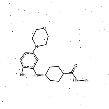 CC(C)NC(=O)[C@H]1CC[C@@H](Nc2cc(N3CCOCC3)ccc2N)CC1